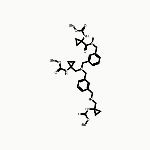 CN(Cc1cccc(CN(Cc2cccc(CNCC3(NC(=O)OC(C)(C)C)CC3)c2)CC2(NC(=O)OC(C)(C)C)CC2)c1)C(=O)C1(NC(=O)OC(C)(C)C)CC1